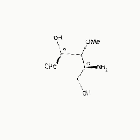 COC([C@H](O)C=O)[C@@H](N)CO